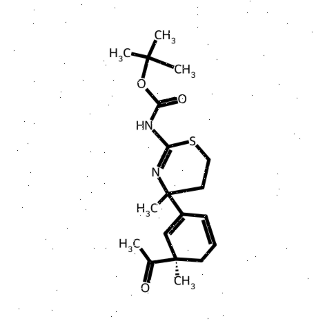 CC(=O)[C@@]1(C)C=C(C2(C)CCSC(NC(=O)OC(C)(C)C)=N2)C=CC1